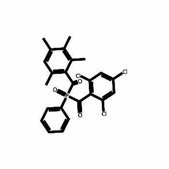 Cc1cc(C)c(C(=O)P(=O)(C(=O)c2c(Cl)cc(Cl)cc2Cl)c2ccccc2)c(C)c1C